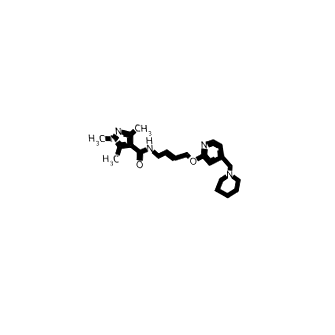 Cc1nn(C)c(C)c1C(=O)NCC=CCOc1cc(CN2CCCCC2)ccn1